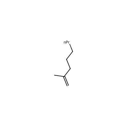 [CH2]CCCCCC(=C)C